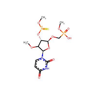 COC1[C@H](n2ccc(=O)[nH]c2=O)O[C@H](OCP(=O)(O)OC)[C@H]1O[PH](=S)OC